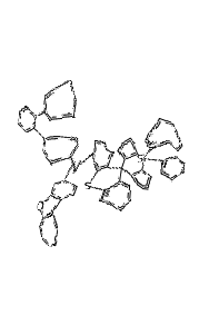 c1ccc(-c2ccccc2-c2ccc(N(c3ccc4c(c3)oc3ccccc34)c3cccc4c3Sc3ccccc3C43c4ccccc4[Si](c4ccccc4)(c4ccccc4)c4ccccc43)cc2)cc1